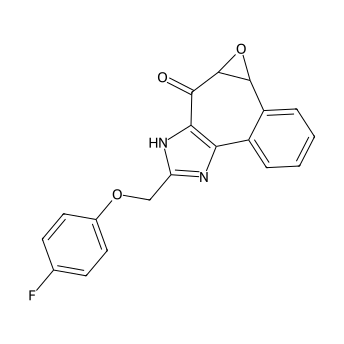 O=C1c2[nH]c(COc3ccc(F)cc3)nc2-c2ccccc2C2OC12